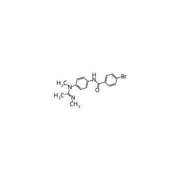 CN=C(C)N(C)c1ccc(NC(=O)c2ccc(Br)cc2)cc1